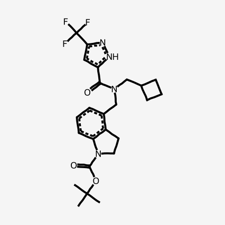 CC(C)(C)OC(=O)N1CCc2c(CN(CC3CCC3)C(=O)c3cc(C(F)(F)F)n[nH]3)cccc21